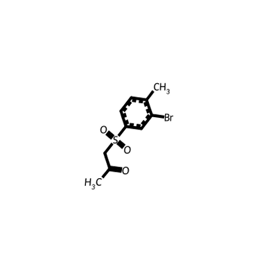 CC(=O)CS(=O)(=O)c1ccc(C)c(Br)c1